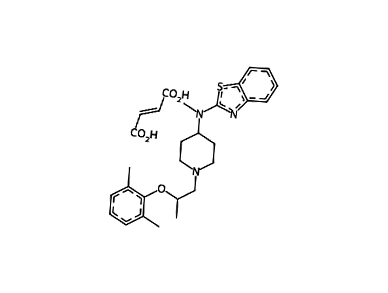 Cc1cccc(C)c1OC(C)CN1CCC(N(C)c2nc3ccccc3s2)CC1.O=C(O)C=CC(=O)O